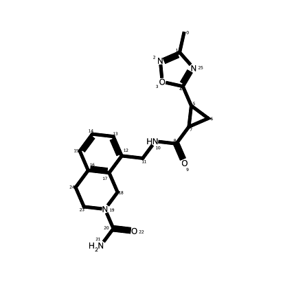 Cc1noc(C2CC2C(=O)NCc2cccc3c2CN(C(N)=O)CC3)n1